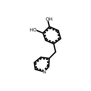 Oc1ccc(Cc2cccnc2)cc1O